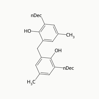 CCCCCCCCCCc1cc(C)cc(Cc2cc(C)cc(CCCCCCCCCC)c2O)c1O